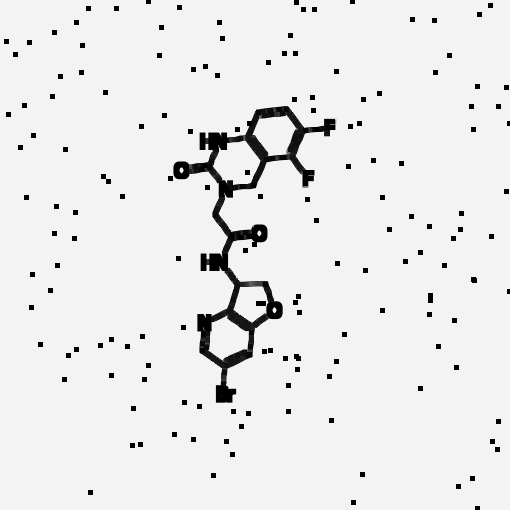 O=C(CN1Cc2c(ccc(F)c2F)NC1=O)NC1COc2cc(Br)cnc21